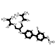 C=C(C)C(=O)OCC(COC(=O)C(=C)C)Oc1ccc(-c2ccc(OC=O)cc2F)cc1